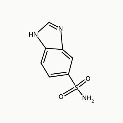 NS(=O)(=O)c1ccc2[nH][c]nc2c1